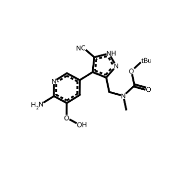 CN(Cc1n[nH]c(C#N)c1-c1cnc(N)c(OO)c1)C(=O)OC(C)(C)C